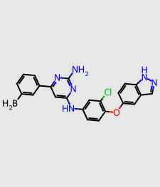 Bc1cccc(-c2cc(Nc3ccc(Oc4ccc5[nH]ncc5c4)c(Cl)c3)nc(N)n2)c1